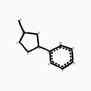 [CH2]C1CCC(c2ccccc2)C1